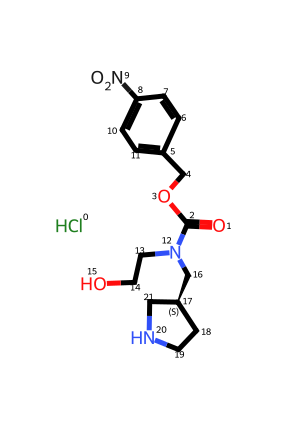 Cl.O=C(OCc1ccc([N+](=O)[O-])cc1)N(CCO)C[C@H]1CCNC1